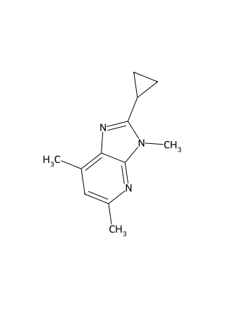 Cc1cc(C)c2nc(C3CC3)n(C)c2n1